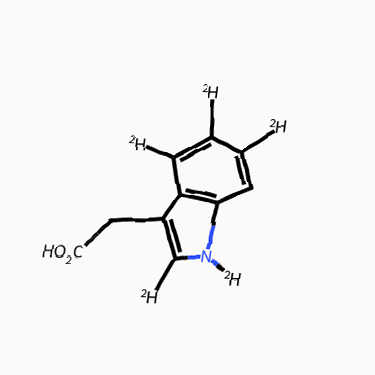 [2H]c1cc2c(c([2H])c1[2H])c(CC(=O)O)c([2H])n2[2H]